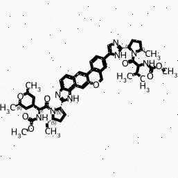 CC[C@H]1CC[C@@H](c2nc3ccc4cc5c(cc4c3[nH]2)OCc2cc(-c3cnc([C@@H]4CC[C@H](C)N4C(=O)C(NC(=O)OC)C(C)C)[nH]3)ccc2-5)N1C(=O)[C@@H](NC(=O)OC)C1CC(C)O[C@H](C)C1